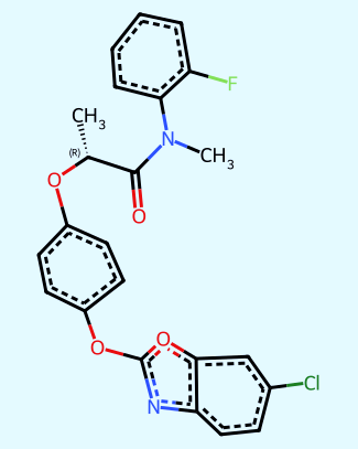 C[C@@H](Oc1ccc(Oc2nc3ccc(Cl)cc3o2)cc1)C(=O)N(C)c1ccccc1F